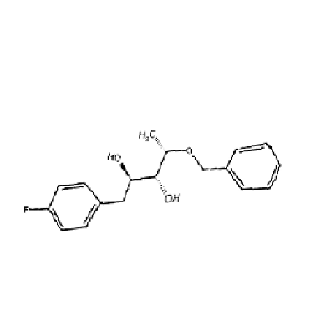 C[C@H](OCc1ccccc1)[C@H](O)[C@H](O)Cc1ccc(F)cc1